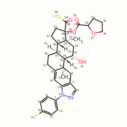 C[C@]12Cc3cnn(-c4ccc(F)cc4)c3C=C1CC[C@@H]1[C@@H]2[C@@H](O)C[C@@]2(C)[C@H]1CC[C@]2(OC(=O)C1CCCO1)C(=O)S